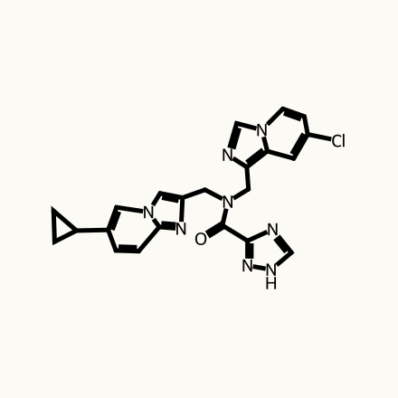 O=C(c1nc[nH]n1)N(Cc1cn2cc(C3CC3)ccc2n1)Cc1ncn2ccc(Cl)cc12